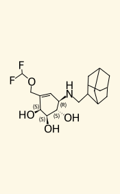 O[C@@H]1[C@@H](O)[C@@H](O)C(COC(F)F)=C[C@H]1NCC1C2CC3CC(C2)CC1C3